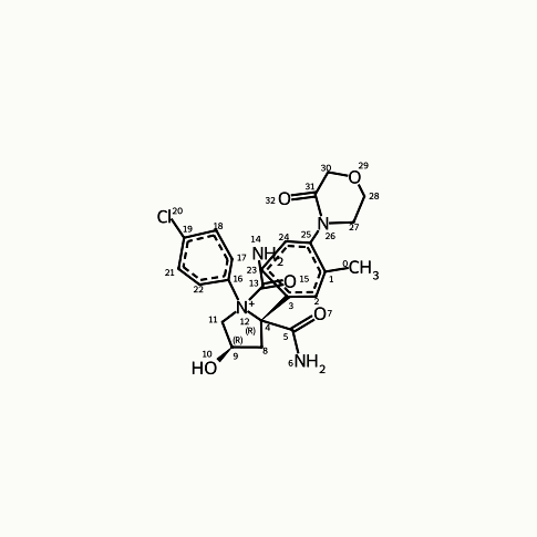 Cc1cc([C@@]2(C(N)=O)C[C@@H](O)C[N+]2(C(N)=O)c2ccc(Cl)cc2)ccc1N1CCOCC1=O